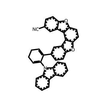 N#Cc1ccc2oc3ccc4oc5ccc(C6=CCCC=C6n6c7ccccc7c7ccccc76)cc5c4c3c2c1